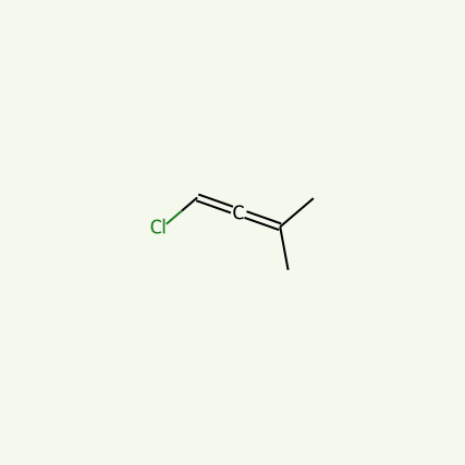 CC(C)=C=CCl